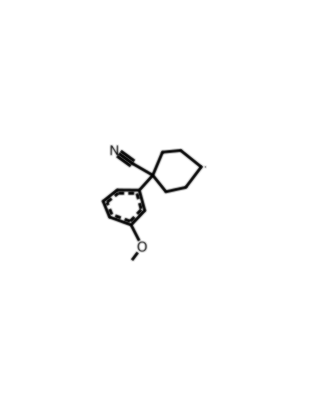 COc1cccc(C2(C#N)CC[CH]CC2)c1